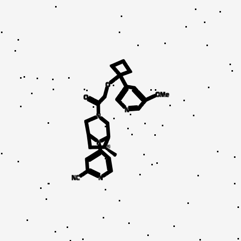 COc1cncc(C2(OCC(=O)N3CC4C[C@H](C)C(C3)N4c3ccnc(C#N)c3)CCC2)c1